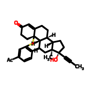 CC#C[C@]1(O)CC[C@H]2[C@@H]3CCC4=CC(=O)CC[C@@]45Sc4cc(C(C)=O)ccc4[C@@H](C[C@@]21C)[C@@H]35